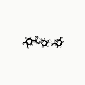 Cc1cccc(COc2cc[n+](CC(=O)c3ccc(C)c(C)c3)cc2)n1